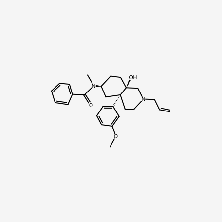 C=CCN1CC[C@@]2(c3cccc(OC)c3)C[C@@H](N(C)C(=O)c3ccccc3)CC[C@]2(O)C1